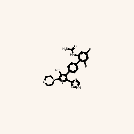 N#Cc1c(N2CCOCC2)sc(-c2nc[nH]n2)c1-c1ccc(-c2c(F)cc(F)cc2NC(N)=O)cc1